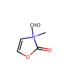 C[N+]1(C=O)C=COC1=O